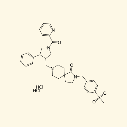 CS(=O)(=O)c1ccc(CN2CCC3(CCN(CC4CN(C(=O)c5ccccn5)CC4c4ccccc4)CC3)C2=O)cc1.Cl.Cl